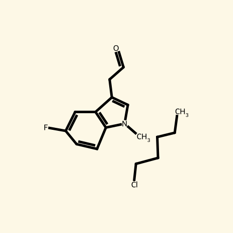 CCCCCCl.Cn1cc(CC=O)c2cc(F)ccc21